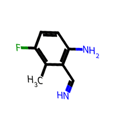 Cc1c(F)ccc(N)c1C=N